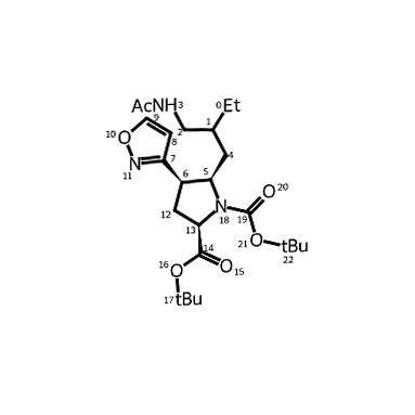 CCC(CNC(C)=O)C[C@@H]1[C@H](c2ccon2)C[C@H](C(=O)OC(C)(C)C)N1C(=O)OC(C)(C)C